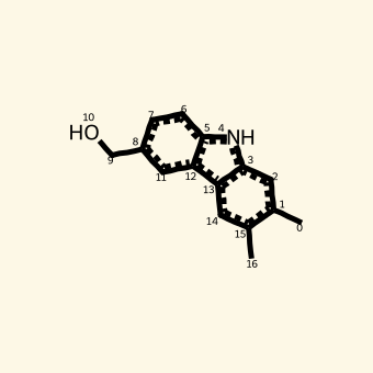 Cc1cc2[nH]c3ccc(CO)cc3c2cc1C